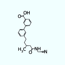 CC(CCc1cccc(-c2cccc(C(=O)O)c2)c1)CC(=O)NCC#N